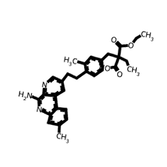 CCOC(=O)C(CC)(Cc1ccc(CCc2cnc3c(N)nc4cc(C)ccc4c3c2)c(C)c1)C(=O)O